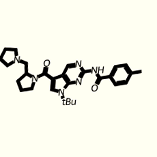 Cc1ccc(C(=O)Nc2ncc3c(C(=O)N4CCCC4CN4CCCC4)cn(C(C)(C)C)c3n2)cc1